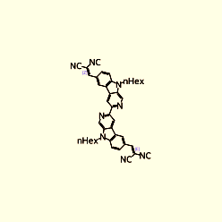 [C-]#[N+]/C(C#N)=C\c1ccc2c(c1)c1cc(-c3cc4c5cc(/C=C(\C#N)[N+]#[C-])ccc5n(CCCCCC)c4cn3)ncc1n2CCCCCC